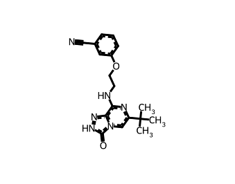 CC(C)(C)c1cn2c(=O)[nH]nc2c(NCCOc2cccc(C#N)c2)n1